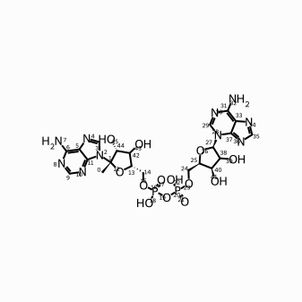 C[C@]1(n2cnc3c(N)ncnc32)O[C@@H](COP(=O)(O)OP(=O)(O)OC[C@H]2O[C@@H](n3cnc(N)c4ncnc3-4)C(O)[C@H]2O)C(O)[C@H]1O